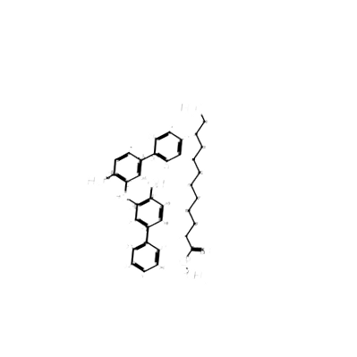 CCCCCCCCCCCC(=O)OC.Oc1ccc(-c2ccccc2)cc1Sc1cc(-c2ccccc2)ccc1O